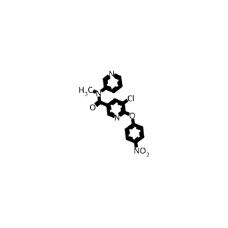 CN(C(=O)c1cnc(Oc2ccc([N+](=O)[O-])cc2)c(Cl)c1)c1cccnc1